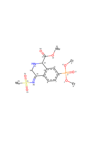 CCOP(=O)(OCC)c1ccc2c(c1)C(C(=O)OC(C)(C)C)NCC2=NS(=O)(=O)C(C)(C)C